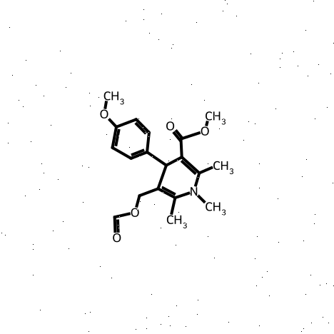 COC(=O)C1=C(C)N(C)C(C)=C(COC=O)C1c1ccc(OC)cc1